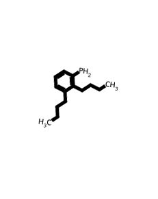 CCCCc1cccc(P)c1CCCC